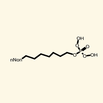 CCCCCCCCCCCCCCCCOP(=O)(OO)OO